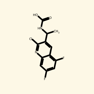 CC(NC(=O)O)c1cc2c(F)cc(F)cc2nc1Cl